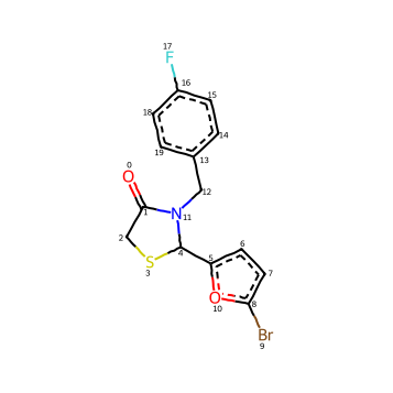 O=C1CSC(c2ccc(Br)o2)N1Cc1ccc(F)cc1